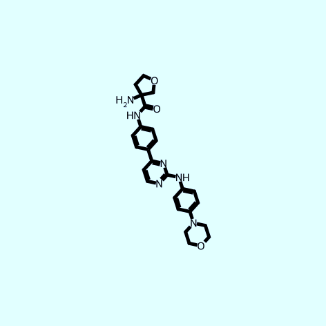 NC1(C(=O)Nc2ccc(-c3ccnc(Nc4ccc(N5CCOCC5)cc4)n3)cc2)CCOC1